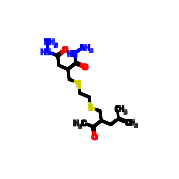 C=C(C)CC(CSCCSCC(CC(=O)NN)C(=O)NN)C(C)=O